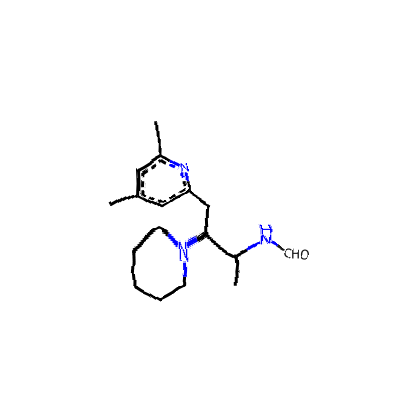 Cc1cc(C)nc(CC(C(C)NC=O)N2CCCCC2)c1